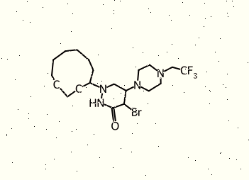 O=C1NN(C2CCCCCCCCC2)CC(N2CCN(CC(F)(F)F)CC2)C1Br